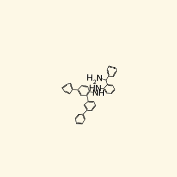 NC(c1ccccc1)c1ccccc1NNc1ccc(-c2ccccc2)cc1-c1cccc(-c2ccccc2)c1